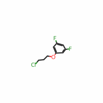 Fc1cc(F)cc(OCCCCl)c1